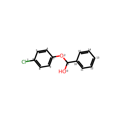 OC(Oc1ccc(Cl)cc1)c1ccccc1